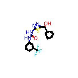 O=C(Nc1cccc(C(F)(F)F)c1)Nc1nnc(C(O)c2ccccc2)s1